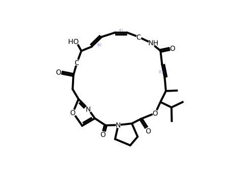 CC(C)C1OC(=O)C2CCCN2C(=O)c2coc(n2)CC(=O)CC(O)/C=C/C=C/CNC(=O)/C=C/C1C